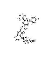 CC(C)(O)C(C)(C)OBc1cccc2sc3cc(-c4nc(-c5ccccc5)cc(-c5ccccc5)n4)ccc3c12